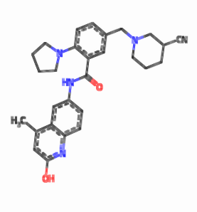 Cc1cc(O)nc2ccc(NC(=O)c3cc(CN4CCCC(C#N)C4)ccc3N3CCCC3)cc12